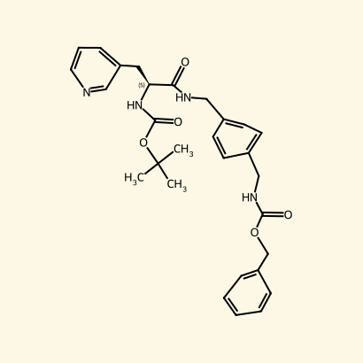 CC(C)(C)OC(=O)N[C@@H](Cc1cccnc1)C(=O)NCc1ccc(CNC(=O)OCc2ccccc2)cc1